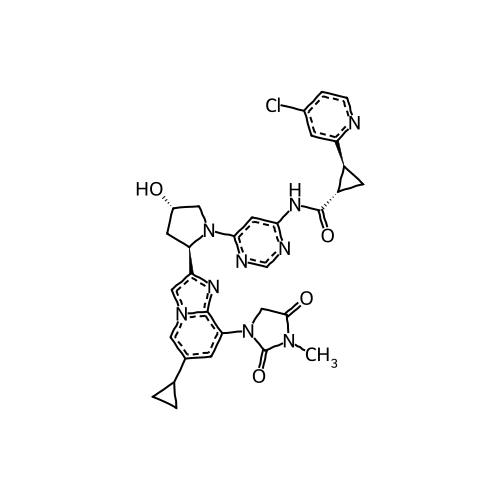 CN1C(=O)CN(c2cc(C3CC3)cn3cc([C@H]4C[C@H](O)CN4c4cc(NC(=O)[C@H]5C[C@@H]5c5cc(Cl)ccn5)ncn4)nc23)C1=O